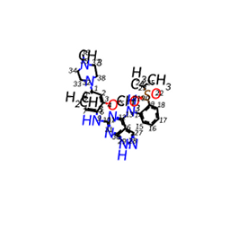 C=C(/C=C(OC)\C(=C/C)Nc1nc(Nc2ccccc2S(=O)(=O)C(C)C)c2cn[nH]c2n1)N1CCN(C)CC1